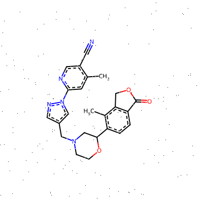 Cc1cc(-n2cc(CN3CCOC(c4ccc5c(c4C)COC5=O)C3)cn2)ncc1C#N